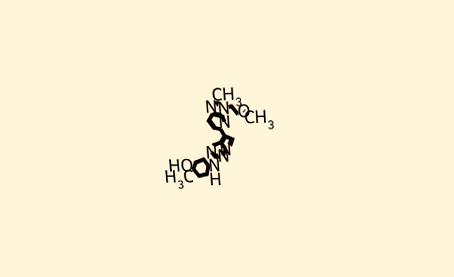 COCCn1c(C)nc2ccc(-c3ccn4nc(NC5CCC(C)(O)CC5)ncc34)nc21